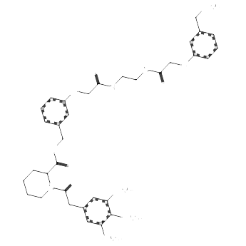 COCc1cccc(OCC(=O)NCCNC(=O)COc2cccc(COC(=O)C3CCCCN3C(=O)Cc3cc(OC)c(OC)c(OC)c3)c2)c1